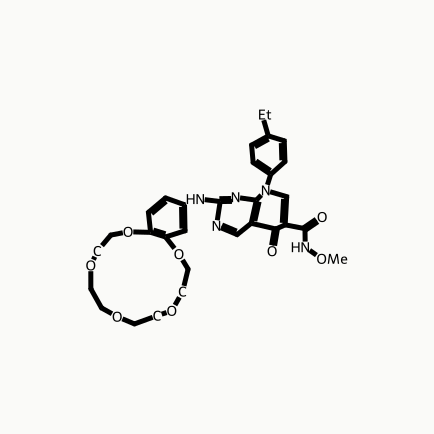 CCc1ccc(-n2cc(C(=O)NOC)c(=O)c3cnc(Nc4ccc5c(c4)OCCOCCOCCOCCO5)nc32)cc1